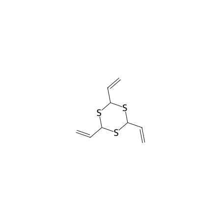 C=CC1SC(C=C)SC(C=C)S1